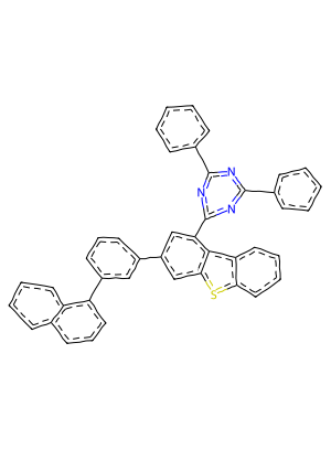 c1ccc(-c2nc(-c3ccccc3)nc(-c3cc(-c4cccc(-c5cccc6ccccc56)c4)cc4sc5ccccc5c34)n2)cc1